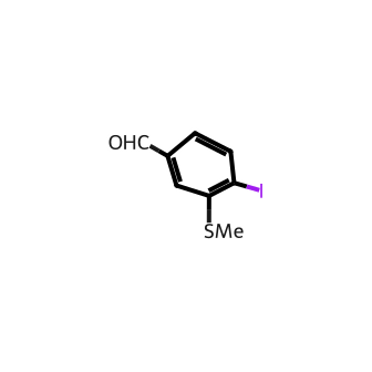 CSc1cc(C=O)ccc1I